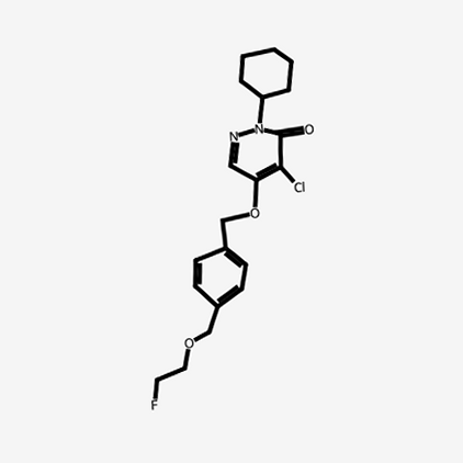 O=c1c(Cl)c(OCc2ccc(COCCF)cc2)cnn1C1CCCCC1